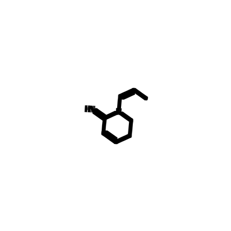 C/C=C\N1CCC=CC1=N